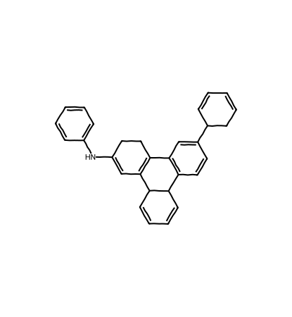 C1=CCC(c2ccc3c(c2)C2=C(C=C(Nc4ccccc4)CC2)C2C=CC=CC32)C=C1